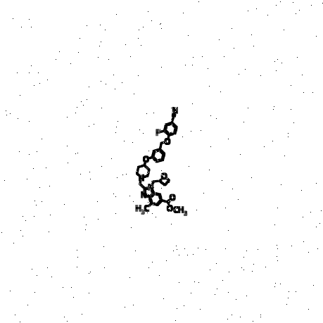 COC(=O)c1cc(C)c2nc(CN3CCC(Oc4cccc(COc5ccc(C#N)cc5F)c4)CC3)n(CC3CCO3)c2c1